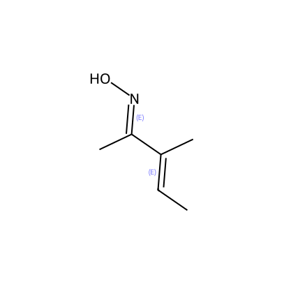 C/C=C(C)/C(C)=N/O